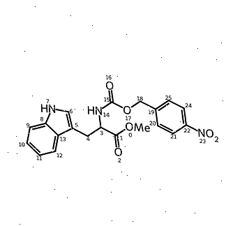 COC(=O)C(Cc1c[nH]c2ccccc12)NC(=O)OCc1ccc([N+](=O)[O-])cc1